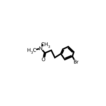 CN(C)C(=O)CCc1cccc(Br)c1